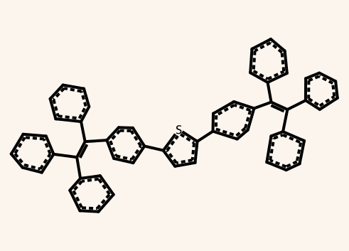 c1ccc(C(=C(c2ccccc2)c2ccc(-c3ccc(-c4ccc(C(=C(c5ccccc5)c5ccccc5)c5ccccc5)cc4)s3)cc2)c2ccccc2)cc1